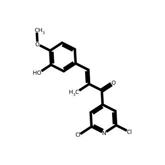 COc1ccc(/C=C(\C)C(=O)c2cc(Cl)nc(Cl)c2)cc1O